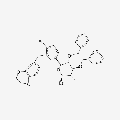 CCc1ccc([C@@H]2O[C@H](CC)[C@@H](C)[C@H](OCc3ccccc3)[C@H]2OCc2ccccc2)cc1Cc1ccc2c(c1)OCCO2